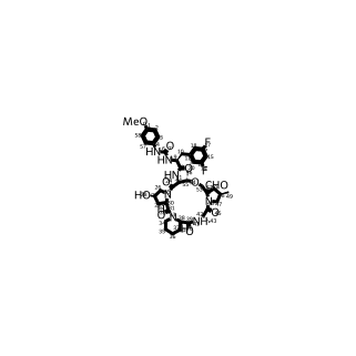 COc1ccc(NC(=O)N[C@@H](Cc2cc(F)cc(F)c2)C(=O)N[C@@H]2C(=O)N3C[C@H](O)C[C@H]3C(=O)N3CCCC[C@H]3C(=O)N[C@@H](C)C(=O)N3C[C@H](C)CC3(C=O)CO[C@H]2C)cc1